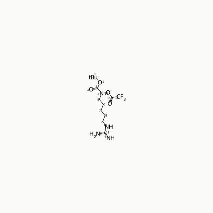 CC(C)(C)OC(=O)N(CCCCCNC(=N)N)OC(=O)C(F)(F)F